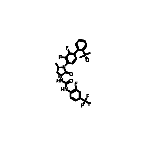 CC1C[C@@H](NC(=O)Nc2ccc(C(F)(F)F)cc2F)C(=O)N1c1ccc(-c2ccccc2P(C)(C)=O)c(F)c1F